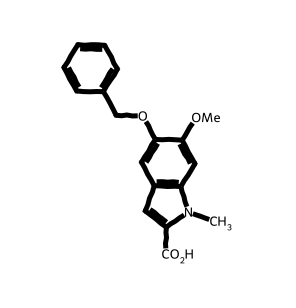 COc1cc2c(cc1OCc1ccccc1)cc(C(=O)O)n2C